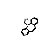 NCN1c2ccccc2C=Cc2ccccc21